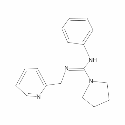 c1ccc(NC(=NCc2ccccn2)N2CCCC2)cc1